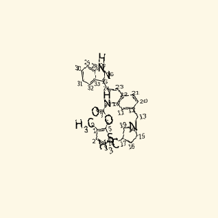 Cc1ccsc1OC(=O)Nc1cc(CN2CCC(C)C2)ccc1/C=C/c1n[nH]c2ccccc12